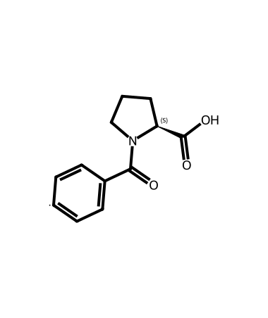 O=C(O)[C@@H]1CCCN1C(=O)c1cc[c]cc1